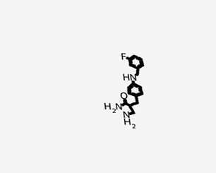 NCC(Cc1ccc(NCc2cccc(F)c2)cc1)C(N)=O